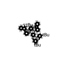 Cc1cc(C(C)(C)C)ccc1N(c1ccc2c(c1)N(c1cccc3c1oc1ccccc13)c1cc(C(C)(C)C)cc3c1B2c1cccc2c4c(n-3c12)C(C)(C)c1ccccc1-4)c1ccc(C(C)(C)C)cc1C